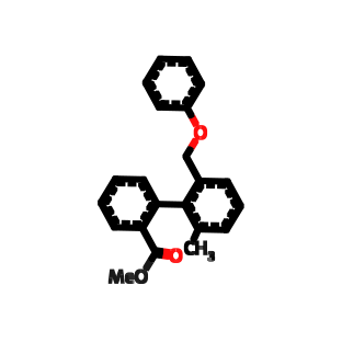 COC(=O)c1ccccc1-c1c(C)cccc1COc1ccccc1